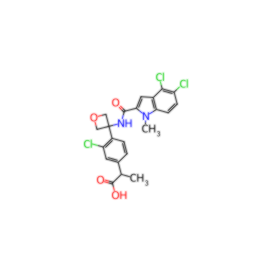 CC(C(=O)O)c1ccc(C2(NC(=O)c3cc4c(Cl)c(Cl)ccc4n3C)COC2)c(Cl)c1